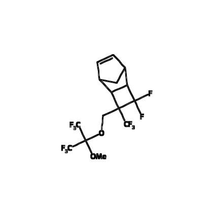 COC(OCC1(C(F)(F)F)C2C3C=CC(C3)C2C1(F)F)(C(F)(F)F)C(F)(F)F